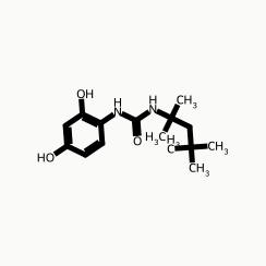 CC(C)(C)CC(C)(C)NC(=O)Nc1ccc(O)cc1O